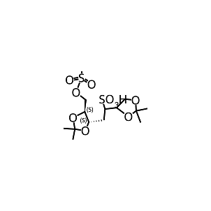 CC1(C)OCC(C(C[C@@H]2OC(C)(C)O[C@H]2COS(C)(=O)=O)S(=O)(=O)O)O1